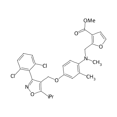 COC(=O)c1ccoc1CN(C)c1ccc(OCc2c(-c3c(Cl)cccc3Cl)noc2C(C)C)cc1C